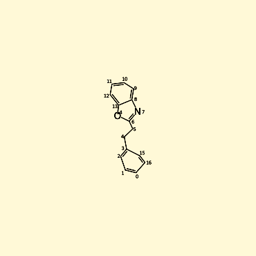 c1ccc(CCc2nc3ccccc3o2)cc1